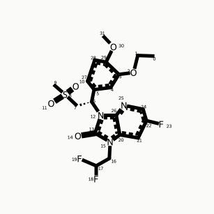 CCOc1cc([C@@H](CS(C)(=O)=O)n2c(=O)n(CC(F)F)c3cc(F)cnc32)ccc1OC